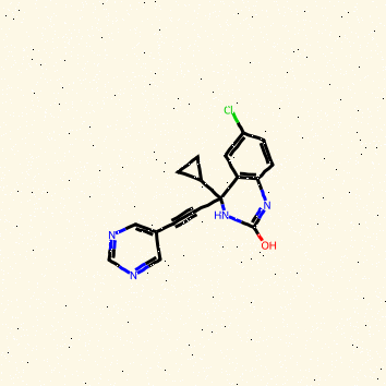 OC1=Nc2ccc(Cl)cc2C(C#Cc2cncnc2)(C2CC2)N1